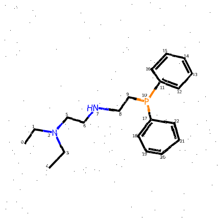 CCN(CC)CCNCCP(c1ccccc1)c1ccccc1